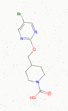 O=C(O)N1CCC(COc2ncc(Br)cn2)CC1